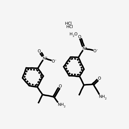 CC(C(N)=O)c1cccc([N+](=O)[O-])c1.CC(C(N)=O)c1cccc([N+](=O)[O-])c1.Cl.Cl.O